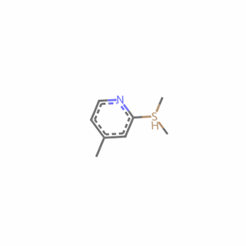 Cc1ccnc([SH](C)C)c1